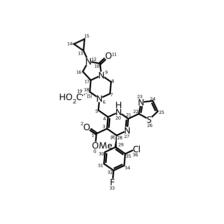 COC(=O)C1=C(CN2CCN3C(=O)N(C4CC4)CC3[C@H]2C(=O)O)NC(c2nccs2)=N[C@H]1c1ccc(F)cc1Cl